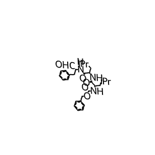 CC(C)CC(NC(=O)OCc1ccccc1)C(=O)NC(CC(C)C)C(=O)NC(C=O)Cc1ccccc1